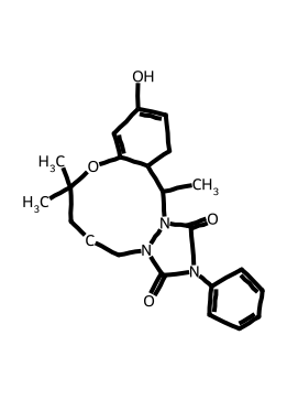 CC1C2CC=C(O)C=C2OC(C)(C)CCCn2c(=O)n(-c3ccccc3)c(=O)n21